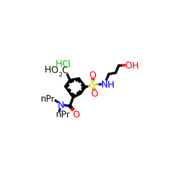 CCCN(CCC)C(=O)c1cc(C(=O)O)cc(S(=O)(=O)NCCCO)c1.Cl